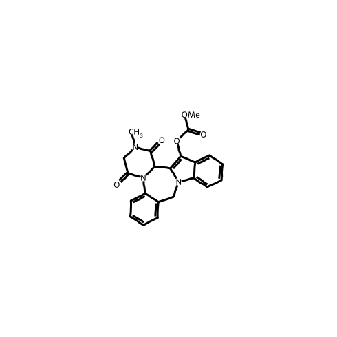 COC(=O)Oc1c2n(c3ccccc13)Cc1ccccc1N1C(=O)CN(C)C(=O)C21